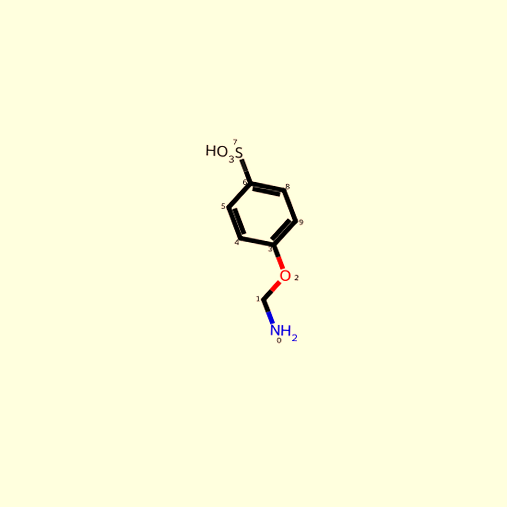 NCOc1ccc(S(=O)(=O)O)cc1